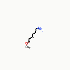 CC(C)OCCCCCCN